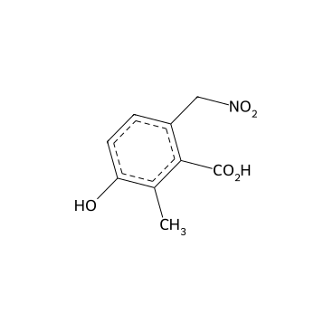 Cc1c(O)ccc(C[N+](=O)[O-])c1C(=O)O